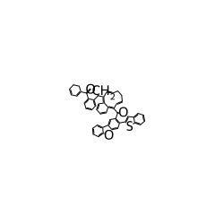 C=C(C1=c2\cccc\c2=C(C(=O)c2cc3c(cc2-c2cc4ccccc4s2)oc2ccccc23)\C=C\CC\C=C\1)c1ccccc1C(=O)C1=CC=CCC1